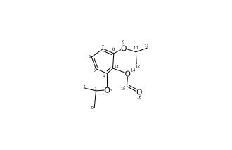 CC(C)Oc1cccc(OC(C)C)c1O[C]=O